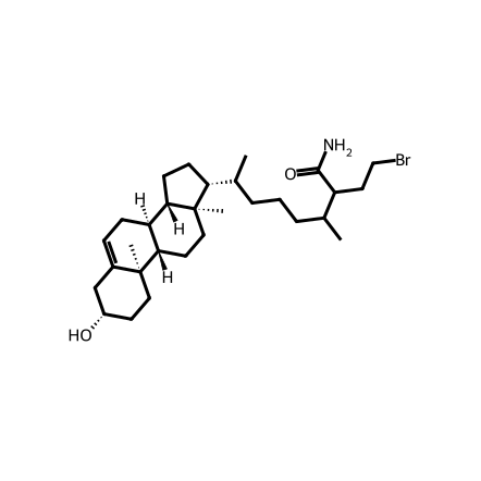 CC(CCCC(C)[C@H]1CC[C@H]2[C@@H]3CC=C4C[C@@H](O)CC[C@]4(C)[C@H]3CC[C@]12C)C(CCBr)C(N)=O